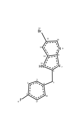 Fc1ccc(Cc2nc3ncc(Br)cc3[nH]2)cc1